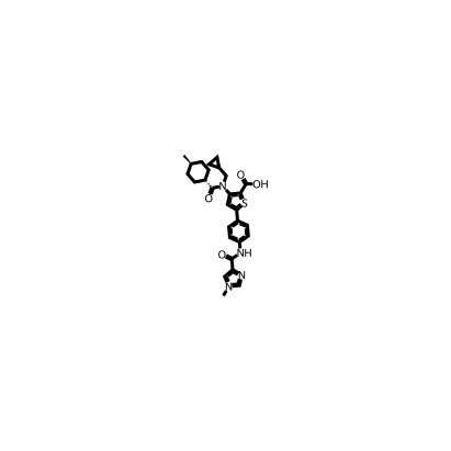 Cn1cnc(C(=O)Nc2ccc(-c3cc(N(CC4CC4)C(=O)[C@H]4CC[C@H](C)CC4)c(C(=O)O)s3)cc2)c1